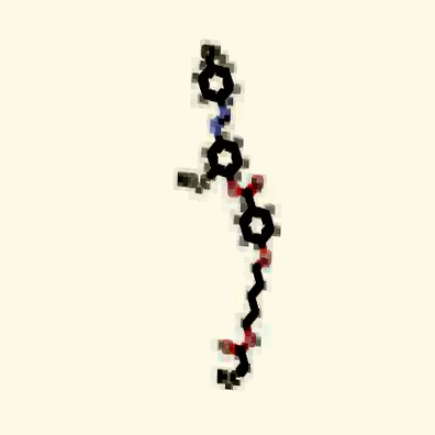 C=CC(=O)OCCCCCOc1ccc(C(=O)Oc2ccc(N=Nc3ccc(C)cc3)cc2C(=O)O)cc1